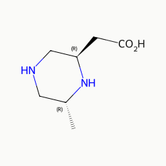 C[C@@H]1CNC[C@@H](CC(=O)O)N1